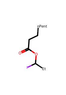 CCCCCCCC(=O)OC(I)CC